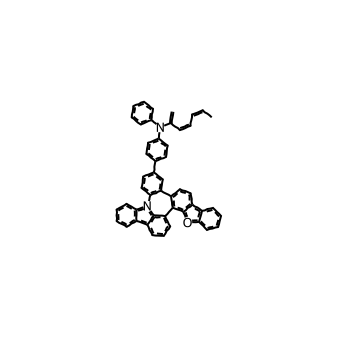 C=C(/C=C\C=C/C)N(c1ccccc1)c1ccc(-c2ccc3c(c2)-c2ccc4c(oc5ccccc54)c2-c2cccc4c5ccccc5n-3c24)cc1